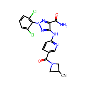 N#CC1CN(C(=O)c2ccc(Nc3nn(-c4c(Cl)cccc4Cl)nc3C(N)=O)nc2)C1